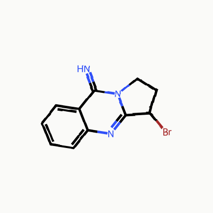 N=c1c2ccccc2nc2n1CCC2Br